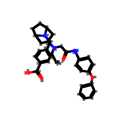 CCN(CC(=O)Nc1ccc(Oc2ccccc2)cc1)C1CC2CCC(C1)N2Cc1ccc(C(=O)O)cc1